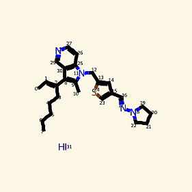 CC=C(CCCCC)c1c(C)n(Cc2cc(C=NN3CCCC3)cs2)c2ccncc12.I